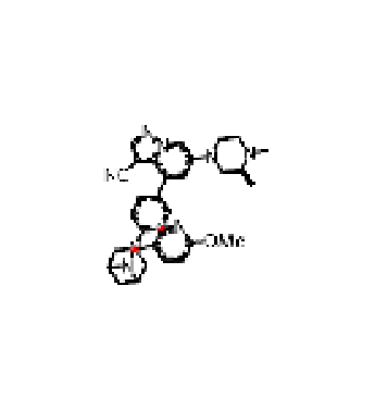 C=C1CN(c2cc(-c3ccc(N4CC5CC(C4)N5Cc4ccc(OC)nc4)nc3)c3c(C#N)cnn3c2)CCN1C